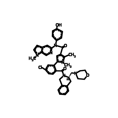 Cc1c(C(=O)N(c2ccc(O)cc2)c2cc3ccn(C)c3cn2)cc(-c2cc(Cl)ccc2C(=O)N2Cc3ccccc3C[C@H]2CN2CCOCC2)n1C